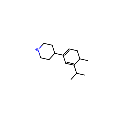 CC(C)C1=CC(C2CCNCC2)=CCC1C